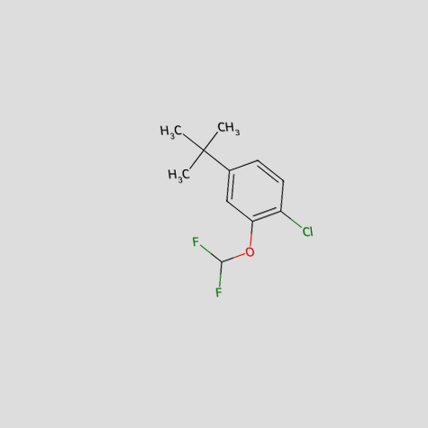 CC(C)(C)c1ccc(Cl)c(OC(F)F)c1